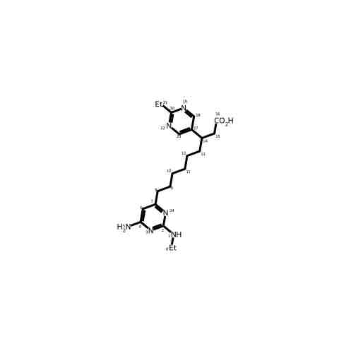 CCNc1nc(N)cc(CCCCCCC(CC(=O)O)c2cnc(CC)nc2)n1